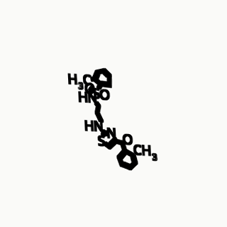 Cc1ccccc1C(=O)c1csc(NCCCNS(=O)(=O)c2ccccc2C)n1